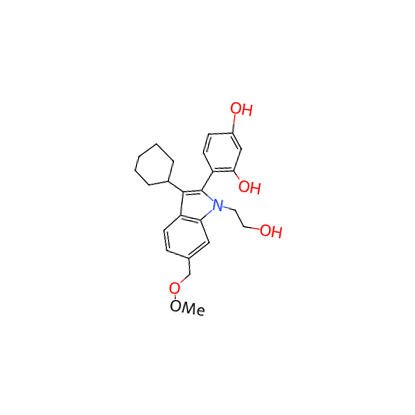 COOCc1ccc2c(C3CCCCC3)c(-c3ccc(O)cc3O)n(CCO)c2c1